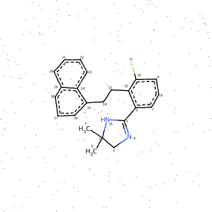 CC1(C)CN=C(c2cccc(F)c2CCc2cccc3ccccc23)N1